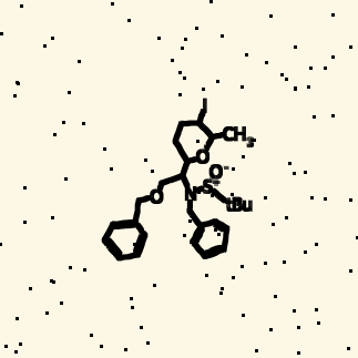 CC1OC(C(COCc2ccccc2)N(Cc2ccccc2)[S+]([O-])C(C)(C)C)CCC1I